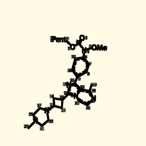 CCCC(C)OC(=O)N(OC)c1ccc(-c2nc(C3CC(N4CCN(C)CC4)C3)n3ccnc(C)c23)cc1